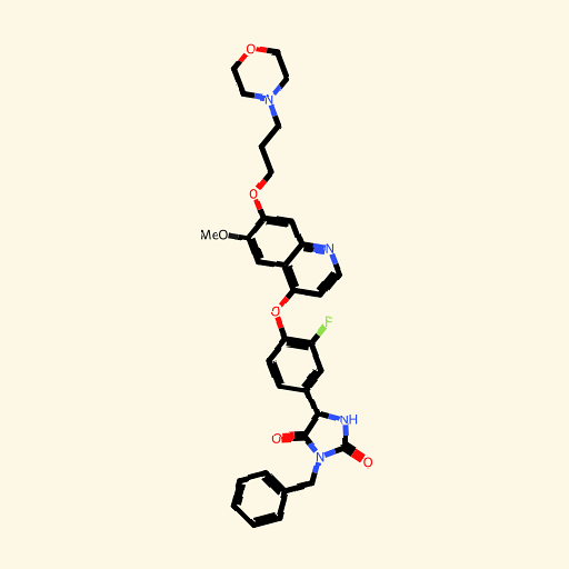 COc1cc2c(Oc3ccc(C4NC(=O)N(Cc5ccccc5)C4=O)cc3F)ccnc2cc1OCCCN1CCOCC1